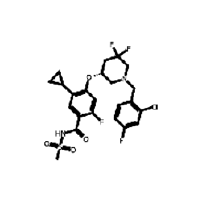 CS(=O)(=O)NC(=O)c1cc(C2CC2)c(O[C@H]2CN(Cc3ccc(F)cc3Cl)CC(F)(F)C2)cc1F